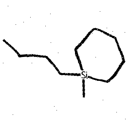 CCCC[Si]1(C)CCCCC1